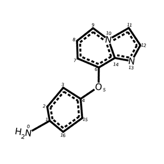 Nc1ccc(Oc2cccn3ccnc23)cc1